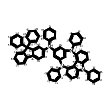 c1ccc(N(c2cc3cc(c2)N(c2ccccc2)c2cccc4c2c2c(cccc2n4-c2ccccc2)N3c2ccccc2)c2ccc3c(c2)C(c2ccccc2)(c2ccccc2)c2ccccc2-3)cc1